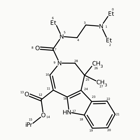 CCN(CC)CCN(CC)C(=O)N1C=C(C(=O)OC(C)C)c2[nH]c3ccccc3c2C(C)(C)C1